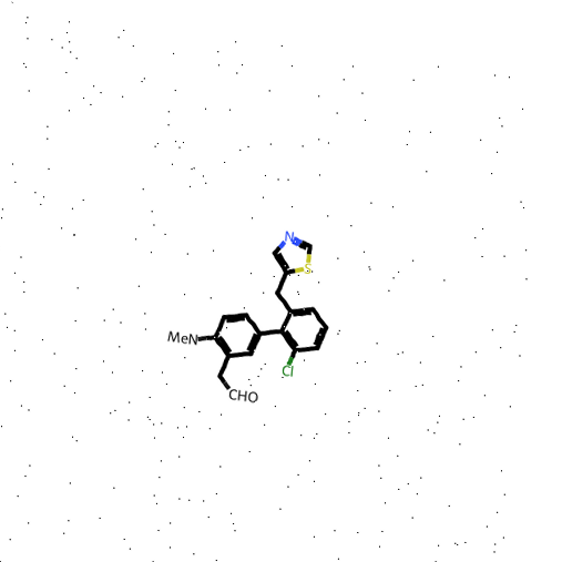 CNc1ccc(-c2c(Cl)cccc2Cc2cncs2)cc1CC=O